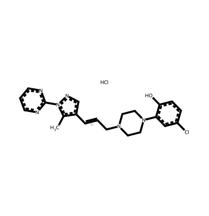 Cc1c(/C=C/CN2CCN(c3cc(Cl)ccc3O)CC2)cnn1-c1ncccn1.Cl